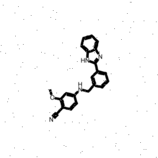 COc1cc(NCc2cccc(-c3nc4ccccc4[nH]3)c2)ccc1C#N